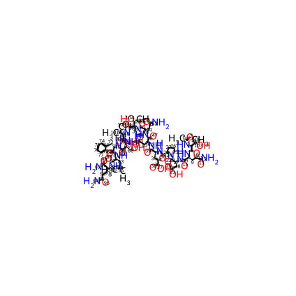 CC(=O)N[C@H](C(=O)N[C@@H](CCC(N)=O)C(=O)N[C@@H](CC(=O)O)C(=O)N1CCC[C@H]1C(=O)N[C@@H](CCC(=O)O)C(=O)N[C@@H](CC(=O)O)C(=O)N[C@@H](CC(N)=O)C(=O)N[C@H](C(=O)N[C@H](C(=O)N[C@@H](CO)C(=O)N[C@@H](Cc1ccccc1)C(=O)N[C@@H](CC(C)C)C(=O)N[C@@H](CCC(N)=O)C(N)=O)C(C)C)[C@@H](C)O)[C@@H](C)O